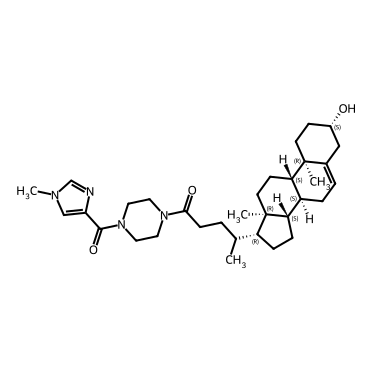 CC(CCC(=O)N1CCN(C(=O)c2cn(C)cn2)CC1)[C@H]1CC[C@H]2[C@@H]3CC=C4C[C@@H](O)CC[C@]4(C)[C@H]3CC[C@]12C